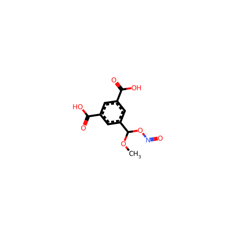 COC(ON=O)c1cc(C(=O)O)cc(C(=O)O)c1